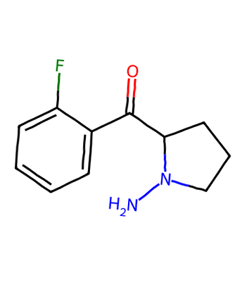 NN1CCCC1C(=O)c1ccccc1F